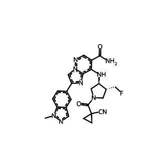 Cn1ncc2cc(-c3cn4ncc(C(N)=O)c(N[C@@H]5CN(C(=O)C6(C#N)CC6)C[C@H]5CF)c4n3)ccc21